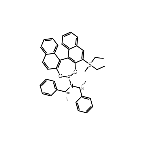 CCS(C)(CC)c1cc2ccccc2c2c1op(N([C@H](C)c1ccccc1)[C@H](C)c1ccccc1)oc1ccc3ccccc3c12